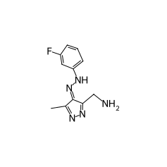 CC1=NN=C(CN)C1=NNc1cccc(F)c1